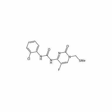 CSCn1cc(F)c(NC(=O)Nc2ccccc2Cl)nc1=O